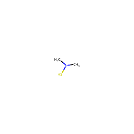 CN(C)S